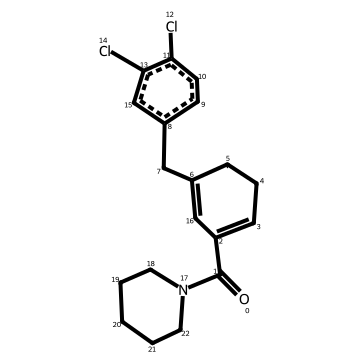 O=C(C1=CC[CH]C(Cc2ccc(Cl)c(Cl)c2)=C1)N1CCCCC1